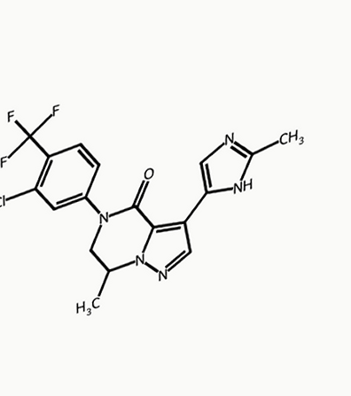 Cc1ncc(-c2cnn3c2C(=O)N(c2ccc(C(F)(F)F)c(Cl)c2)CC3C)[nH]1